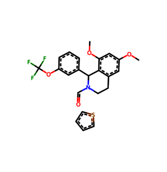 COc1cc2c(c(OC)c1)C(c1cccc(OC(F)(F)F)c1)N(C=O)CC2.c1ccsc1